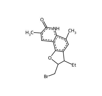 CCC1c2cc(C)c3[nH]c(=O)c(C)cc3c2OC1CBr